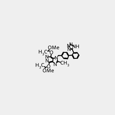 COC(C)Oc1nnc(OC(C)OC)c2c1nc(C)n2Cc1ccc(-c2ccccc2-c2nnn[nH]2)cc1